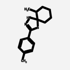 Cc1ccc(C2=NNC3(CCCCC3C)S2)cc1